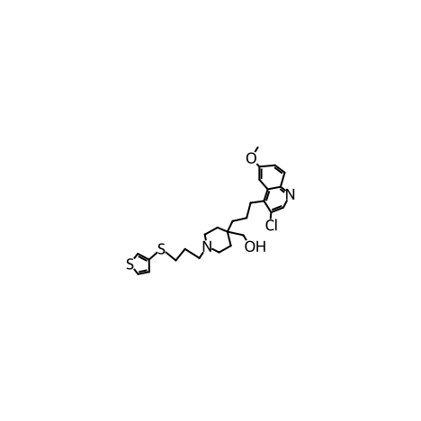 COc1ccc2ncc(Cl)c(CCCC3(CO)CCN(CCCSc4ccsc4)CC3)c2c1